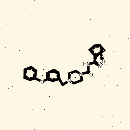 O=C(Nc1noc2ccccc12)N1CCN(Cc2cccc(Oc3ccccc3)c2)CC1